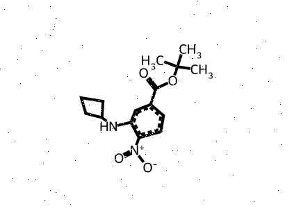 CC(C)(C)OC(=O)c1ccc([N+](=O)[O-])c(NC2CCC2)c1